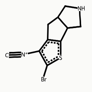 [C-]#[N+]c1c(Br)sc2c1CC1CNCC21